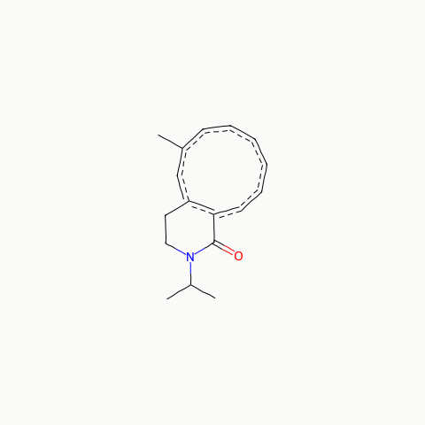 Cc1ccccccc2c(c1)CCN(C(C)C)C2=O